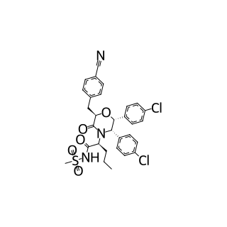 CCC[C@@H](C(=O)NS(C)(=O)=O)N1C(=O)[C@@H](Cc2ccc(C#N)cc2)O[C@H](c2ccc(Cl)cc2)[C@@H]1c1ccc(Cl)cc1